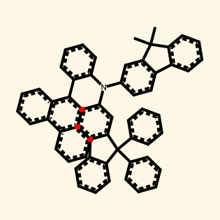 CC1(C)c2ccccc2-c2ccc(N(c3ccc4c(c3)C(c3ccccc3)(c3ccccc3)c3ccccc3-4)c3ccccc3-c3cc4ccccc4c4ccccc34)cc21